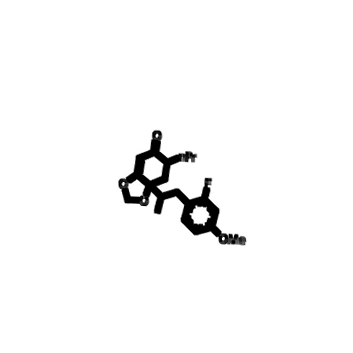 CCCC1CC2(C(C)Cc3ccc(OC)cc3F)OCOC2=CC1=O